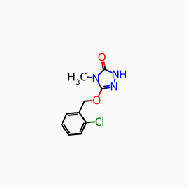 Cn1c(OCc2ccccc2Cl)n[nH]c1=O